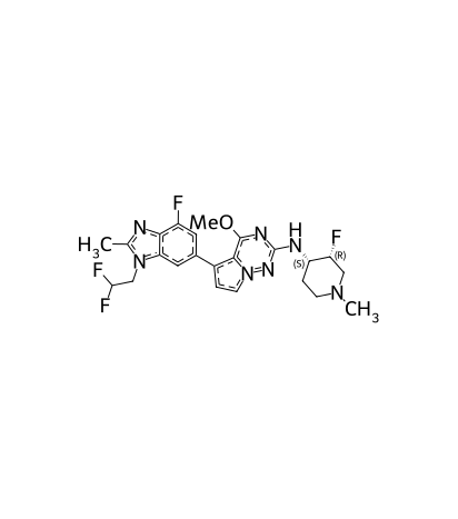 COc1nc(N[C@H]2CCN(C)C[C@H]2F)nn2ccc(-c3cc(F)c4nc(C)n(CC(F)F)c4c3)c12